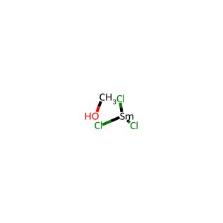 CO.[Cl][Sm]([Cl])[Cl]